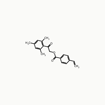 C=Cc1ccc(C(=O)OCC(=O)c2c(C)cc(C)cc2C)cc1